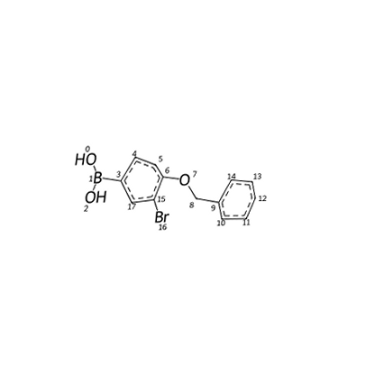 OB(O)c1ccc(OCc2ccccc2)c(Br)c1